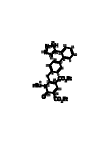 CCCCn1c(Cc2ccc(-c3ccccc3-c3nnn[nH]3)cc2)c(C(=O)OCC)cc(C(=O)OCC)c1=O